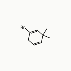 CC1(C)C=CCC(Br)=C1